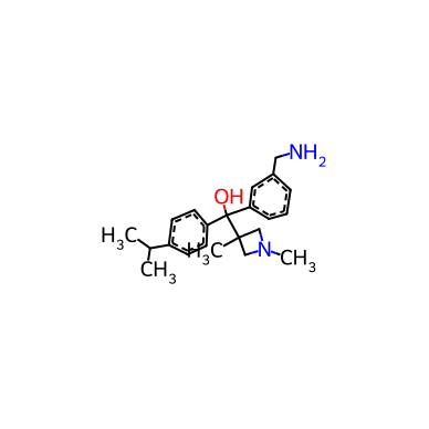 CC(C)c1ccc(C(O)(c2cccc(CN)c2)C2(C)CN(C)C2)cc1